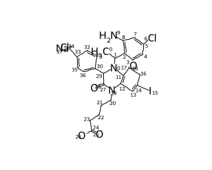 CC(c1ccc(Cl)cc1N)N1C2=C(C=C(I)CC2=O)N(CCCCC(=O)[O-])C(=O)C1c1ccc(Cl)cc1.[Na+]